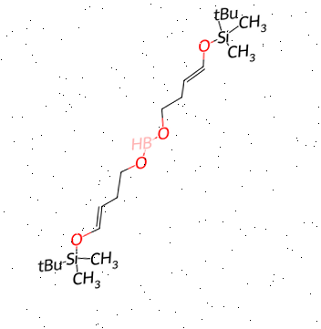 CC(C)(C)[Si](C)(C)OC=CCCOBOCCC=CO[Si](C)(C)C(C)(C)C